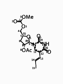 COC(=O)OC[C@@H]1C[C@@H](OC(C)=O)[C@H](n2cc(C=CI)c(=O)[nH]c2=O)O1